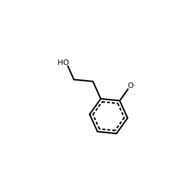 [O]c1ccccc1CCO